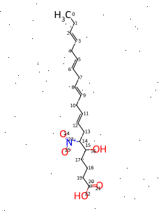 CCC=CCC=CCC=CCC=CCC(C(O)CCCC(=O)O)[N+](=O)[O-]